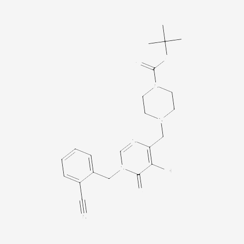 CC(C)(C)OC(=O)N1CCN(Cc2ncn(Cc3ccccc3C#N)c(=O)c2O)CC1